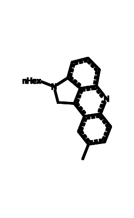 CCCCCCN1Cc2c3cc(C)ccc3nc3cccc1c23